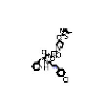 Cc1cnc(O[C@@H]2CCN(C(=O)CNC(=O)[C@H](Cc3ccccn3)NC(=O)/C=C/c3ccc(Cl)cc3)C2)s1